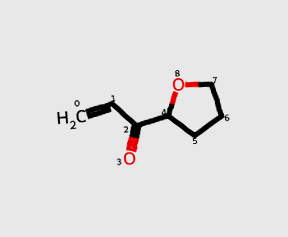 C=CC(=O)C1CCCO1